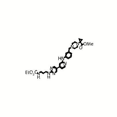 CCOC(=O)NCCCNc1ncc(-c2ccnc(Nc3cccc(CN4CCN(C5(C(=O)OC)CC5)CC4)c3)c2)cn1